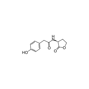 O=C(Cc1ccc(O)cc1)N[C@H]1CCOC1=O